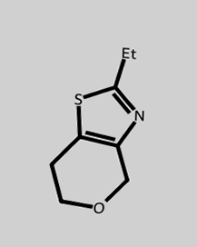 CCc1nc2c(s1)CCOC2